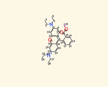 CCN(CC)c1ccc2c(-c3ccccc3C(=O)OI)c3ccc(=[N+](CC)CC)cc-3oc2c1